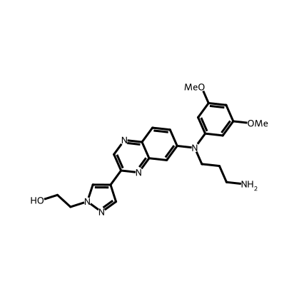 COc1cc(OC)cc(N(CCCN)c2ccc3ncc(-c4cnn(CCO)c4)nc3c2)c1